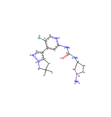 CC1(C)Cc2c(-c3cc(NC(=O)NC4CCP(N)C4)ncc3Cl)cnn2C1